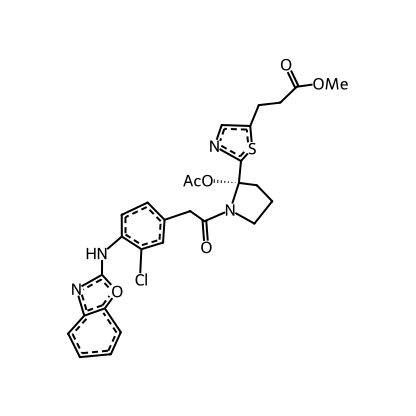 COC(=O)CCc1cnc([C@@]2(OC(C)=O)CCCN2C(=O)Cc2ccc(Nc3nc4ccccc4o3)c(Cl)c2)s1